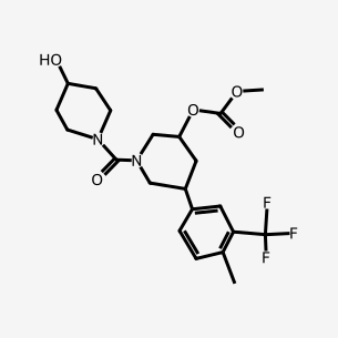 COC(=O)OC1CC(c2ccc(C)c(C(F)(F)F)c2)CN(C(=O)N2CCC(O)CC2)C1